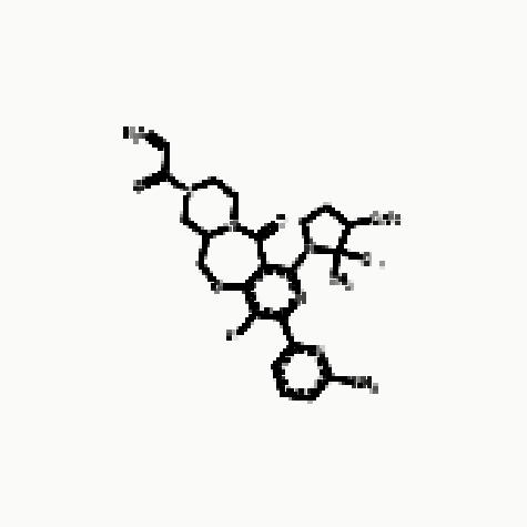 C=CC(=O)N1CCN2C(=O)c3c(N4CCC(OC)C4(C)C)nc(-c4cccc(N)n4)c(Cl)c3OCC2C1